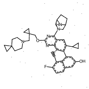 C#Cc1c(F)ccc2cc(O)cc(-c3c(C4CC4)cc4c(N5CC6CCC(C5)N6)nc(OCC5(CN6CCC7(CC6)CC7)CC5)nc4c3F)c12